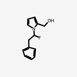 OCc1cccn1C(F)Cc1ccccc1